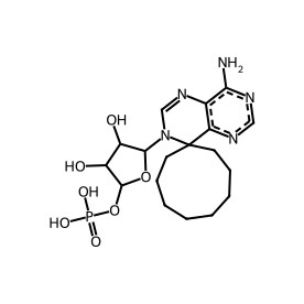 Nc1ncnc2c1N=CN(C1OC(OP(=O)(O)O)C(O)C1O)C21CCCCCCCC1